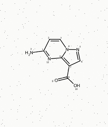 Nc1ccn2ncc(C(=O)O)c2n1